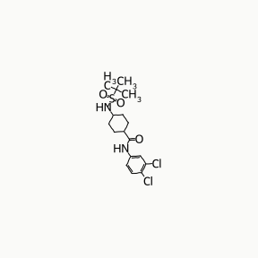 CC(C)(C)S(=O)(=O)NC1CCC(C(=O)Nc2ccc(Cl)c(Cl)c2)CC1